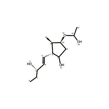 CC[C@H](O)/C=C/[C@H]1C(O)C[C@H](OC(C)O)[C@@H]1C